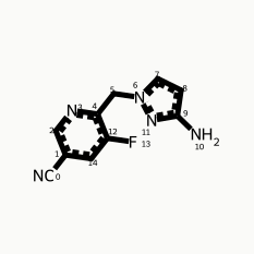 N#Cc1cnc(Cn2ccc(N)n2)c(F)c1